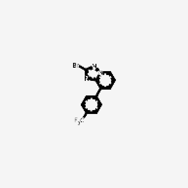 FC(F)(F)c1ccc(-c2cccn3nc(Br)nc23)cc1